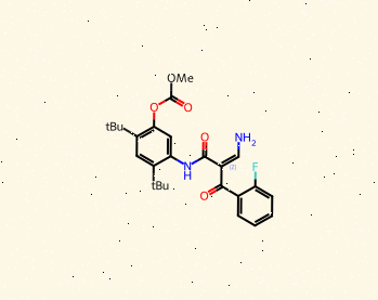 COC(=O)Oc1cc(NC(=O)/C(=C\N)C(=O)c2ccccc2F)c(C(C)(C)C)cc1C(C)(C)C